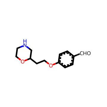 O=Cc1ccc(OCCC2CNCCO2)cc1